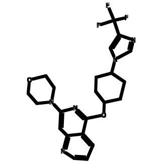 FC(F)(F)c1cn(C2CCC(Oc3nc(N4CCOCC4)cc4ncccc34)CC2)cn1